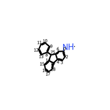 [NH]c1ccc2c(c1)C(c1ccccc1)c1ccccc1-2